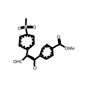 COC(=O)c1ccc(C(Cl)=C(C=O)c2ccc(S(C)(=O)=O)cc2)cc1